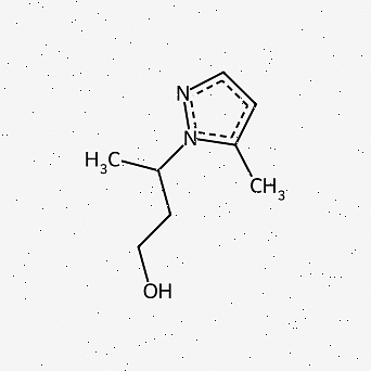 Cc1ccnn1C(C)CCO